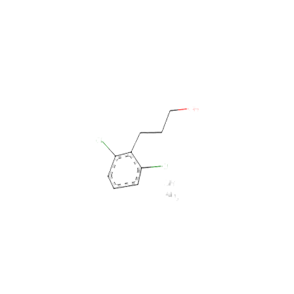 OCCCc1c(Cl)cccc1Cl.[AlH3].[LiH]